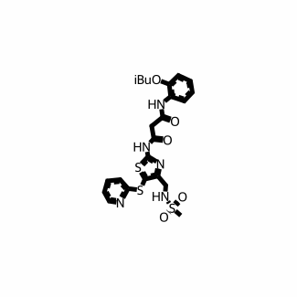 CC(C)COc1ccccc1NC(=O)CC(=O)Nc1nc(CNS(C)(=O)=O)c(Sc2ccccn2)s1